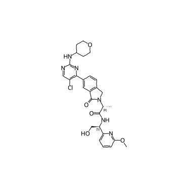 COc1cccc([C@@H](CO)NC(=O)[C@@H](C)N2Cc3ccc(-c4nc(NC5CCOCC5)ncc4Cl)cc3C2=O)n1